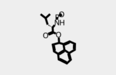 CC(C)C[C@H](NP=O)C(=O)OC1C=Cc2cccc3cccc1c23